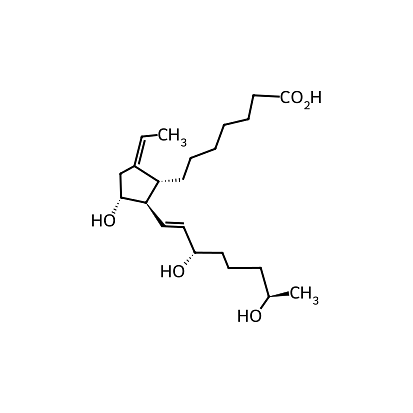 C/C=C1/C[C@@H](O)[C@H](/C=C/[C@@H](O)CCC[C@@H](C)O)[C@H]1CCCCCCC(=O)O